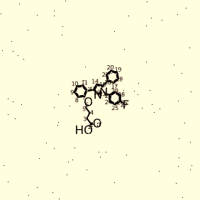 O=C(O)CCCOc1ccccc1-c1cc(-c2ccccc2)n(-c2ccc(F)cc2)n1